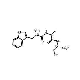 CC(C)C[C@H](NC(=O)[C@H](C)NC(=O)[C@@H](N)Cc1c[nH]c2ccccc12)C(=O)O